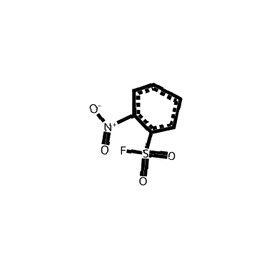 O=[N+]([O-])c1ccccc1S(=O)(=O)F